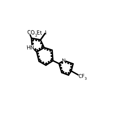 CCOC(=O)c1[nH]c2ccc(-c3ccc(C(F)(F)F)cn3)cc2c1I